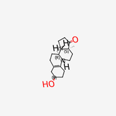 C[C@]12CC[C@@H]3C4=C(CC[C@H]3[C@@H]1CCC2=O)C[C@H](O)CC4